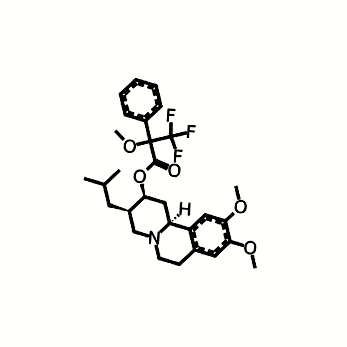 COc1cc2c(cc1OC)[C@@H]1C[C@H](OC(=O)C(OC)(c3ccccc3)C(F)(F)F)[C@H](CC(C)C)CN1CC2